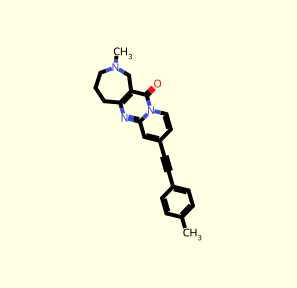 Cc1ccc(C#Cc2ccn3c(=O)c4c(nc3c2)CCCN(C)C4)cc1